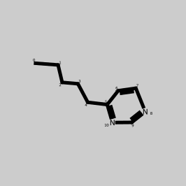 CCCCCc1[c]cncn1